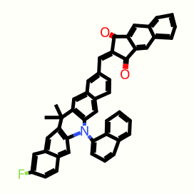 CC1(C)c2cc3cc(F)ccc3cc2N(c2cccc3ccccc23)c2cc3ccc(C=C4C(=O)c5cc6ccccc6cc5C4=O)cc3cc21